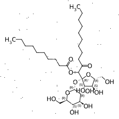 CCCCCCCCCC(=O)OC(C(=O)CCCCCCCCC)[C@@]1(O[C@H]2O[C@H](CO)[C@@H](O)[C@H](O)[C@H]2O)O[C@H](CO)[C@@H](O)[C@@H]1O